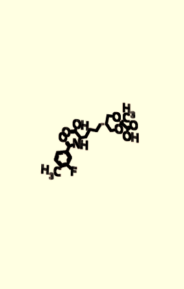 Cc1ccc(C(=O)NC(CCCC[C@H]2CO[C@@](C)(C(=O)O)OC2)C(=O)O)cc1F